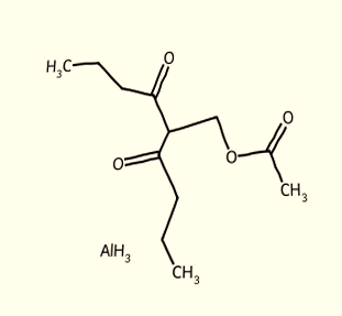 CCCC(=O)C(COC(C)=O)C(=O)CCC.[AlH3]